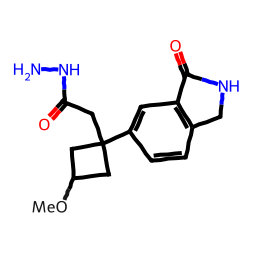 COC1CC(CC(=O)NN)(c2ccc3c(c2)C(=O)NC3)C1